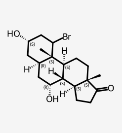 C[C@]12C(Br)C[C@@H](O)C[C@@H]1C[C@@H](O)[C@@H]1[C@@H]2CC[C@]2(C)C(=O)CC[C@@H]12